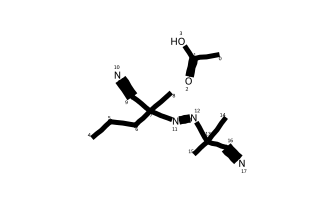 CC(=O)O.CCCC(C)(C#N)N=NC(C)(C)C#N